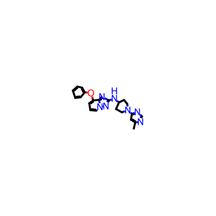 Cc1cc(N2CCC(Nc3nc4c(Oc5ccccc5)cccn4n3)CC2)ncn1